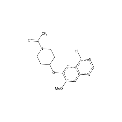 COc1cc2ncnc(Cl)c2cc1OC1CCN(C(=O)C(F)(F)F)CC1